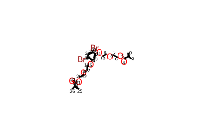 C=C(C)C(=O)OCCOCCOc1cc(OCCOCCOC(=O)C(=C)C)c(Br)cc1Br